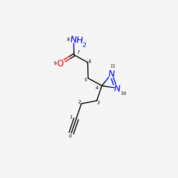 C#CCCC1(CCC(N)=O)N=N1